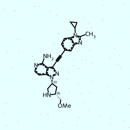 COC[C@H]1C[C@H](n2nc(C#Cc3ccc4c(c3)nc(C)n4C3CC3)c3c(N)nccc32)CN1